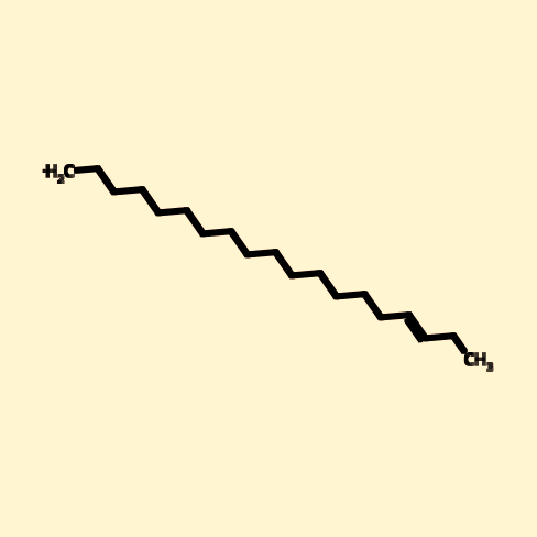 [CH2]CCCCCCCCCCCCCC/C=C/CC